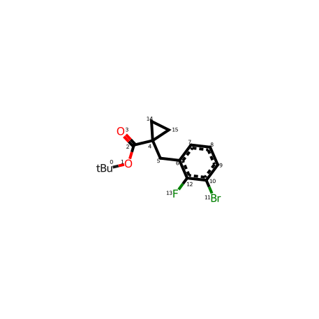 CC(C)(C)OC(=O)C1(Cc2cccc(Br)c2F)CC1